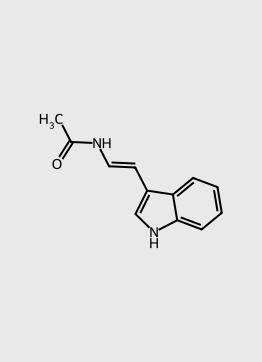 CC(=O)N/C=C/c1c[nH]c2ccccc12